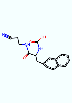 N#CCCNC(=O)C(Cc1ccc2ccccc2c1)NC(=O)O